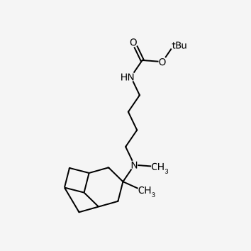 CN(CCCCNC(=O)OC(C)(C)C)C1(C)CC2CC3CC(C1)C32